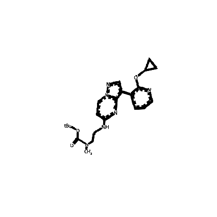 CN(CCNc1ccn2ncc(-c3cccnc3OC3CC3)c2n1)C(=O)OC(C)(C)C